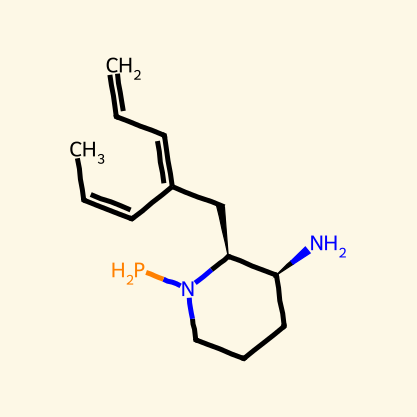 C=C/C=C(\C=C/C)C[C@H]1[C@@H](N)CCCN1P